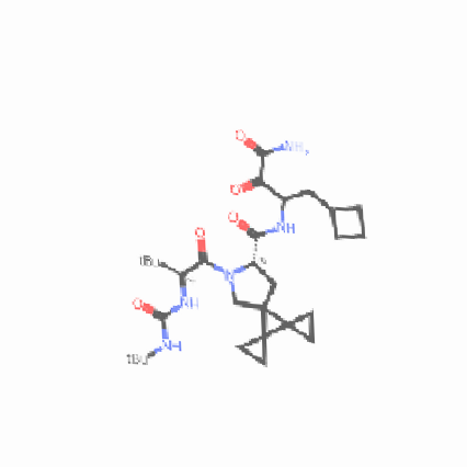 CC(C)(C)NC(=O)N[C@H](C(=O)N1CC2(C[C@H]1C(=O)NC(CC1CCC1)C(=O)C(N)=O)C1(CC1)C21CC1)C(C)(C)C